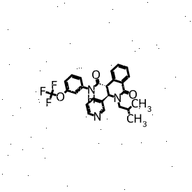 CC(C)CN1C(=O)c2ccccc2[C@@H](C(=O)Nc2cccc(OC(F)(F)F)c2)[C@@H]1c1cccnc1